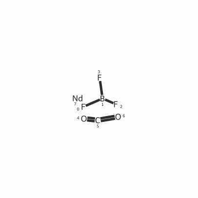 FB(F)F.O=C=O.[Nd]